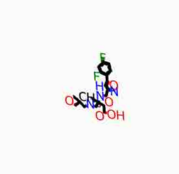 CC1(CN2CC(CC(=O)O)(NC(=O)c3cc(-c4ccc(F)cc4F)on3)C2)COC1